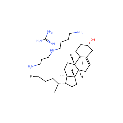 CC(C)CCCC(C)[C@H]1CC[C@H]2[C@@H]3CC=C4C[C@@H](O)CC[C@]4(C)[C@H]3CC[C@]12C.N=C(N)N.NCCCCNCCCN